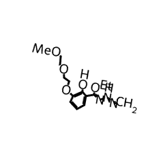 C=NNN=C(OCC)c1cccc(OCCOCCOC)c1O